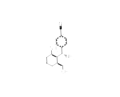 CC=C1CCCC(N)=C1[C@H](N)c1ccc(C#N)cc1